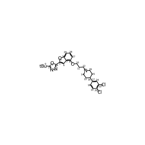 CC(C)(C)c1nnc(-c2cc3c(OCCCN4CCC(c5ccc(Cl)c(Cl)c5)CC4)cccc3o2)o1